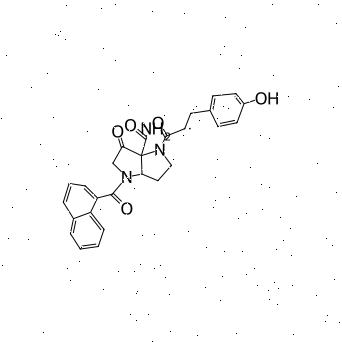 NC(=O)C12C(=O)CN(C(=O)c3cccc4ccccc34)C1CCN2C(=O)[CH]Cc1ccc(O)cc1